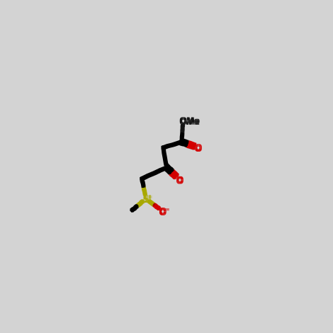 COC(=O)CC(=O)C[S+](C)[O-]